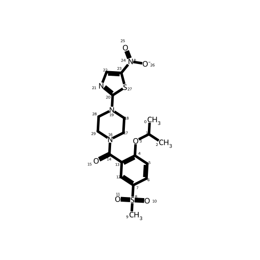 CC(C)Oc1ccc(S(C)(=O)=O)cc1C(=O)N1CCN(c2ncc([N+](=O)[O-])s2)CC1